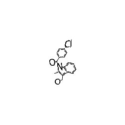 Cc1c(C=O)c2ccccc2n1C(=O)c1ccc(Cl)cc1